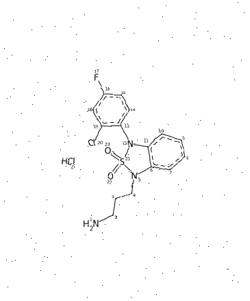 Cl.NCCCN1c2ccccc2N(c2ccc(F)cc2Cl)S1(=O)=O